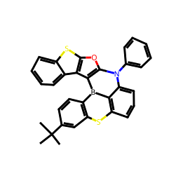 CC(C)(C)c1ccc2c(c1)Sc1cccc3c1B2c1c(oc2sc4ccccc4c12)N3c1ccccc1